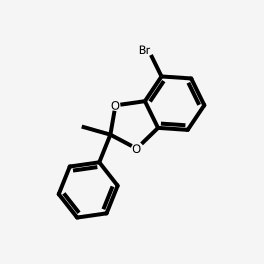 CC1(c2ccccc2)Oc2cccc(Br)c2O1